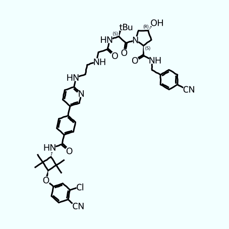 CC(C)(C)[C@H](NC(=O)CNCCNc1ccc(-c2ccc(C(=O)N[C@H]3C(C)(C)[C@H](Oc4ccc(C#N)c(Cl)c4)C3(C)C)cc2)cn1)C(=O)N1C[C@H](O)C[C@H]1C(=O)NCc1ccc(C#N)cc1